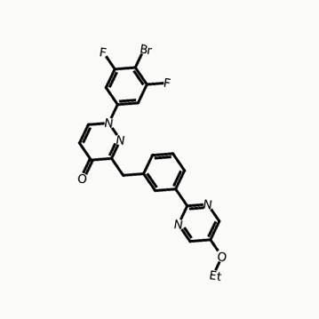 CCOc1cnc(-c2cccc(Cc3nn(-c4cc(F)c(Br)c(F)c4)ccc3=O)c2)nc1